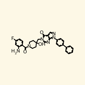 Nc1cc(F)ccc1C(=O)N1CCC(O)(Cn2cnc3c(cnn3-c3ccc(-c4ccccc4)cc3)c2=O)CC1